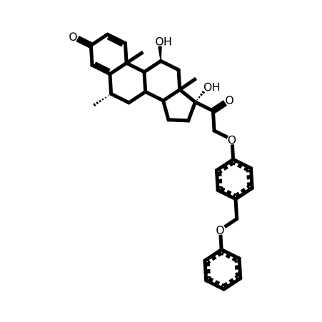 C[C@H]1CC2C([C@@H](O)CC3(C)C2CC[C@]3(O)C(=O)COc2ccc(COc3ccccc3)cc2)C2(C)C=CC(=O)C=C12